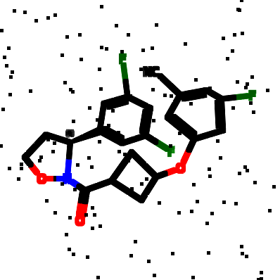 N#Cc1cc(F)cc(OC2CC(C(=O)N3OCC[C@H]3c3cc(F)cc(F)c3)C2)c1